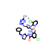 Cc1cc(Cl)cc(C(=O)NC2CCN(Cc3ccccc3)C2)c1NC(=O)c1cc(Cn2nnc(C(F)(F)F)n2)nn1-c1ncccc1Cl